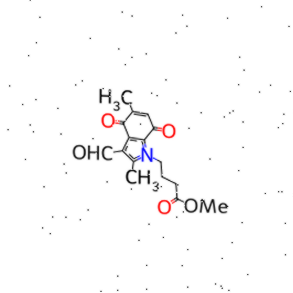 COC(=O)CCCn1c(C)c(C=O)c2c1C(=O)C=C(C)C2=O